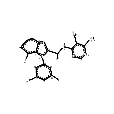 CC(Nc1ncnc(N)c1N)c1nc2cccc(F)c2n1-c1cc(F)cc(F)c1